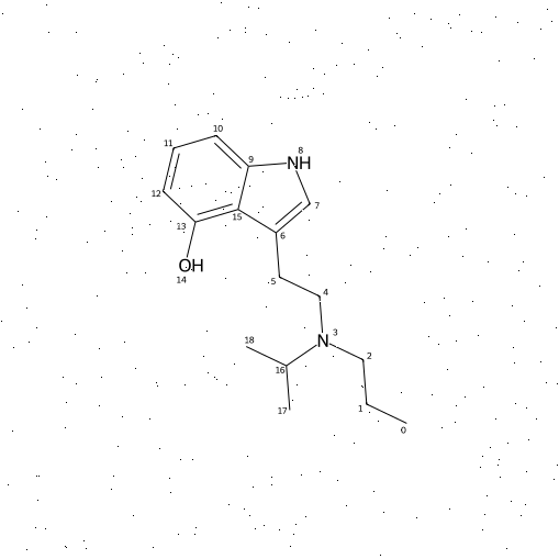 CCCN(CCc1c[nH]c2cccc(O)c12)C(C)C